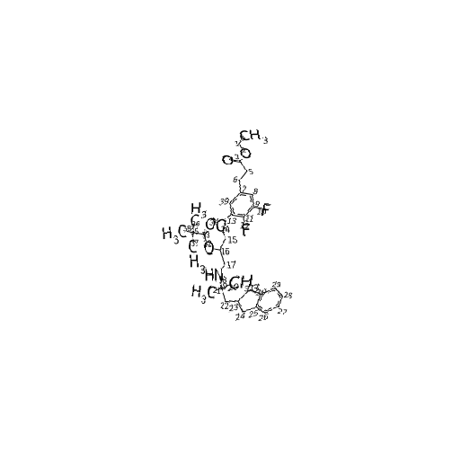 CCOC(=O)CCc1cc(F)c(F)c(OCC(CNC(C)(C)CC2Cc3ccccc3C2)OC(=O)C(C)(C)C)c1